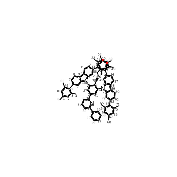 Cc1cc(C)c(-c2ccc3c4ccc(-c5c(C)cc(C)cc5C)cc4n(-c4cc(-c5cccc(-c6ccccc6)n5)cc(-n5c6cc(-c7c(C)cc(C)cc7C)ccc6c6ccc(-c7c(C)cc(C)cc7C)cc65)c4C#N)c3c2)c(C)c1